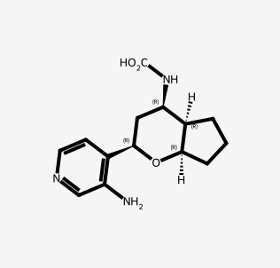 Nc1cnccc1[C@H]1C[C@@H](NC(=O)O)[C@H]2CCC[C@H]2O1